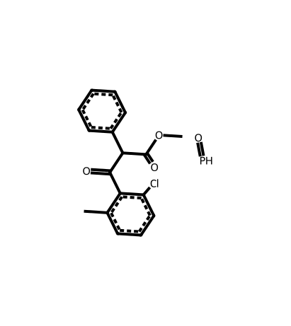 COC(=O)C(C(=O)c1c(C)cccc1Cl)c1ccccc1.O=P